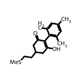 CSCCC1CC(=O)C(c2c(C)cc(C)cc2C)=C(O)C1